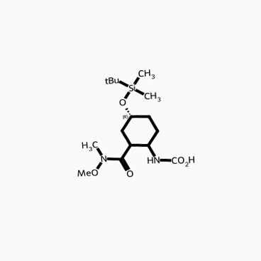 CON(C)C(=O)C1C[C@H](O[Si](C)(C)C(C)(C)C)CCC1NC(=O)O